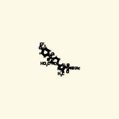 CC(=O)NS(=O)(=O)c1sc(N2CCN(S(=O)(=O)c3ccc(OC(F)(F)F)cc3)C(C(=O)O)C2)nc1C